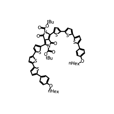 CCCCCCOc1ccc(-c2ccc(-c3ccc(-c4ccc(C5=C6C(=O)N(C(=O)OC(C)(C)C)C(c7ccc(-c8ccc(-c9ccc(-c%10ccc(OCCCCCC)cc%10)s9)s8)s7)=C6C(=O)N5C(=O)OC(C)(C)C)s4)s3)s2)cc1